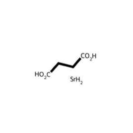 O=C(O)CCC(=O)O.[SrH2]